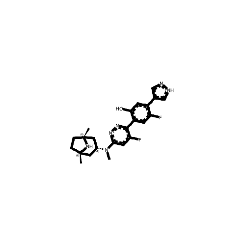 CN(c1cc(F)c(-c2cc(F)c(-c3cn[nH]c3)cc2O)nn1)[C@@H]1C[C@]2(C)CC[C@](C)(C1)N2